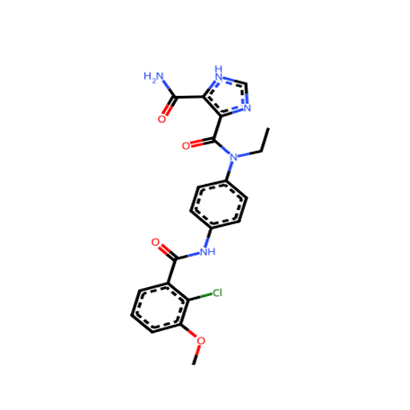 CCN(C(=O)c1nc[nH]c1C(N)=O)c1ccc(NC(=O)c2cccc(OC)c2Cl)cc1